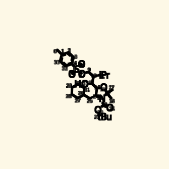 Cc1ccc(S(=O)(=O)OC[C@@H](C(C)C)[C@H](O)[C@@H]2OC(C)(C)N(C(=O)OC(C)(C)C)[C@H]2CC2CCCCC2)cc1